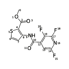 COC(=O)c1sccc1NC(=O)c1cc(F)nc(F)c1F